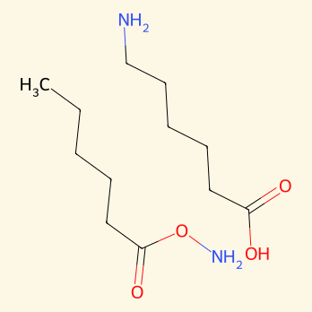 CCCCCC(=O)ON.NCCCCCC(=O)O